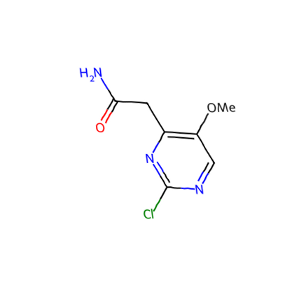 COc1cnc(Cl)nc1CC(N)=O